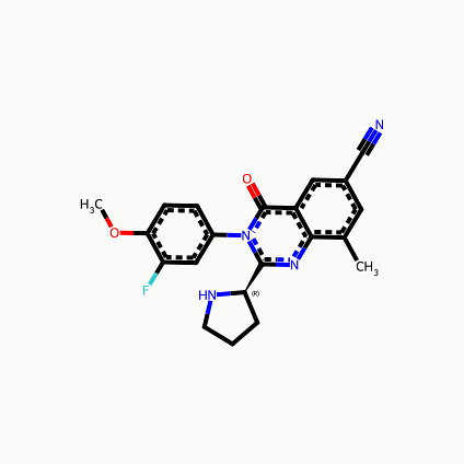 COc1ccc(-n2c([C@H]3CCCN3)nc3c(C)cc(C#N)cc3c2=O)cc1F